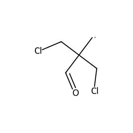 [CH2]C(C=O)(CCl)CCl